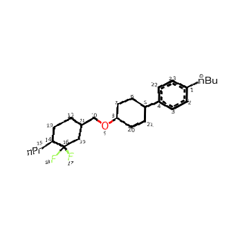 CCCCc1ccc(C2CCC(OCC3CCC(CCC)C(F)(F)C3)CC2)cc1